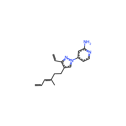 C=C/C=C(\C)CCc1cn(-c2ccnc(N)c2)nc1C=C